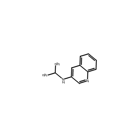 CCCC(CCC)Nc1[c]nc2ccccc2c1